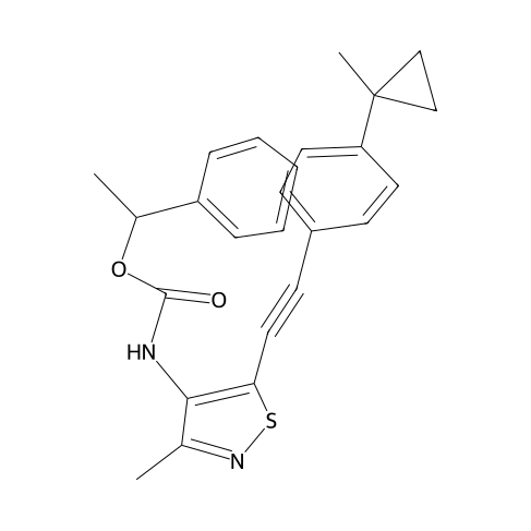 Cc1nsc(C#Cc2ccc(C3(C)CC3)cc2)c1NC(=O)OC(C)c1ccccc1